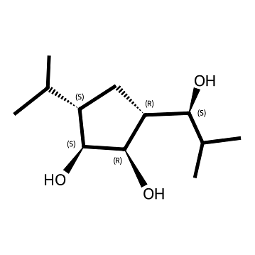 CC(C)[C@H](O)[C@H]1C[C@@H](C(C)C)[C@H](O)[C@@H]1O